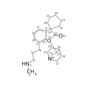 CNCCCc1cccc(C2(C(=O)OC3CN4CCC3CC4)CCCCC2)c1